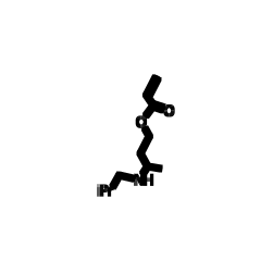 C=CC(=O)OCCC(C)NCC(C)C